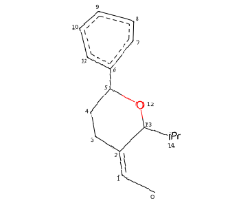 C/[C]=C1/CCC(c2ccccc2)OC1C(C)C